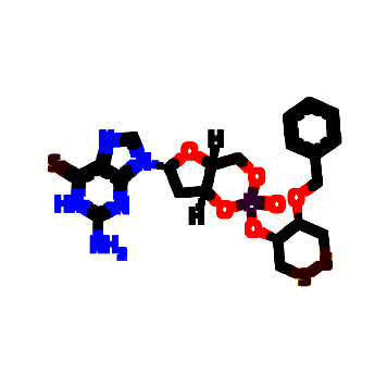 Nc1nc2c(ncn2[C@H]2C[C@@H]3OP(=O)(O[C@@H]4CSSC[C@@H]4OCc4ccccc4)OC[C@H]3O2)c(=S)[nH]1